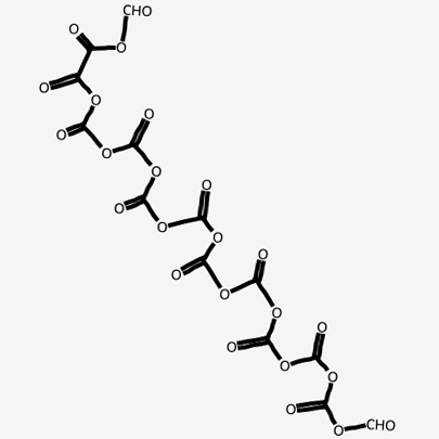 O=COC(=O)OC(=O)OC(=O)OC(=O)OC(=O)OC(=O)OC(=O)OC(=O)OC(=O)OC(=O)C(=O)OC=O